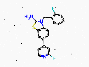 NC1Sc2cc(-c3ccnc(F)c3)ccc2N1Cc1ccccc1F